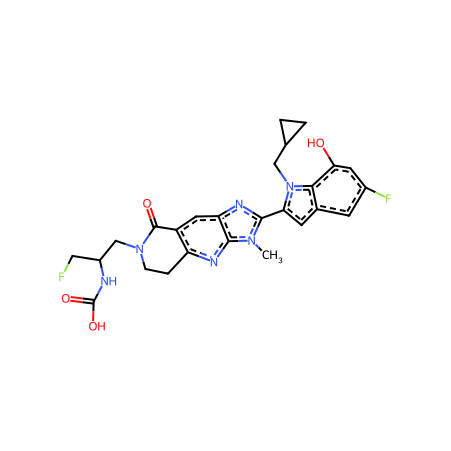 Cn1c(-c2cc3cc(F)cc(O)c3n2CC2CC2)nc2cc3c(nc21)CCN(CC(CF)NC(=O)O)C3=O